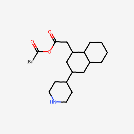 CC(C)(C)C(=O)OC(=O)CC1CC(C2CCNCC2)CC2CCCCC21